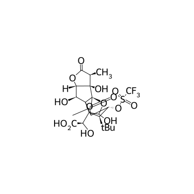 C[C@@H]1C(=O)O[C@H]2[C@H](O)C34C5OC(=O)[C@@]3(OC(O)C4([C@@H](O)C(=O)O)[C@H](C(C)(C)C)[C@H]5OS(=O)(=O)C(F)(F)F)[C@@]12O